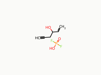 C#CCC(O)C=C.O=P(O)(F)F